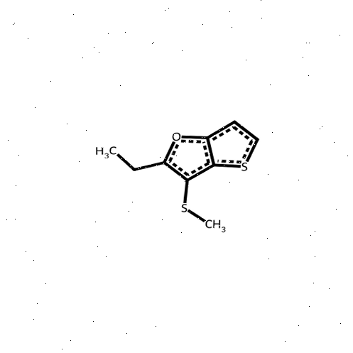 CCc1oc2ccsc2c1SC